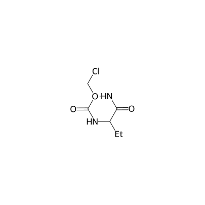 CCC(NC(=O)OCCl)C([NH])=O